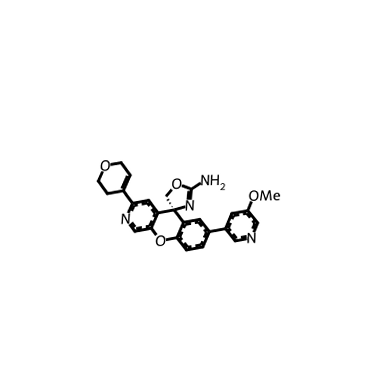 COc1cncc(-c2ccc3c(c2)[C@@]2(COC(N)=N2)c2cc(C4=CCOCC4)ncc2O3)c1